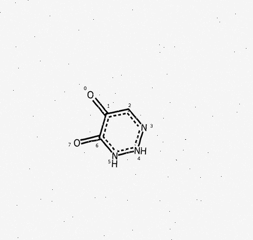 O=c1[c]n[nH][nH]c1=O